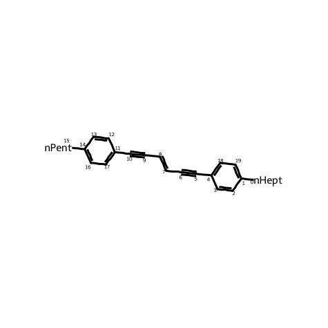 CCCCCCCc1ccc(C#C/C=C/C#Cc2ccc(CCCCC)cc2)cc1